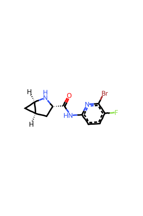 O=C(Nc1ccc(F)c(Br)n1)[C@@H]1C[C@H]2C[C@H]2N1